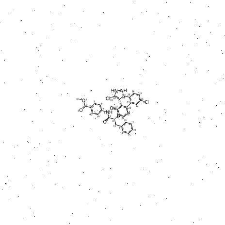 COC(=O)c1ccc(NC(=O)[C@H](Cc2ccccc2)n2cnc(-c3cc(Cl)ccc3N3C=C(Cl)NN3)cc2=O)cc1